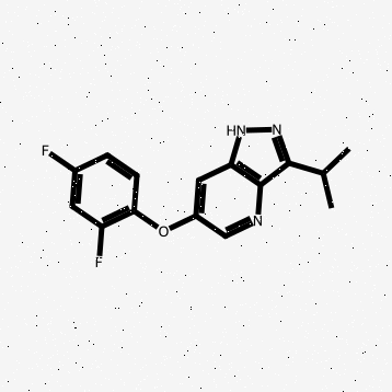 CC(C)c1n[nH]c2cc(Oc3ccc(F)cc3F)cnc12